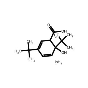 CC(C)(C)C1=CC(C(=O)O)C(O)(C(C)(C)C)C=C1.[InH3]